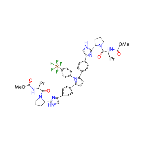 COC(=O)N[C@H](C(=O)N1CCC[C@H]1c1nc(-c2ccc(-c3ccc(-c4ccc(-c5c[nH]c([C@@H]6CCCN6C(=O)[C@@H](NC(=O)OC)C(C)C)n5)cc4)n3-c3ccc(S(F)(F)(F)(F)F)cc3)cc2)c[nH]1)C(C)C